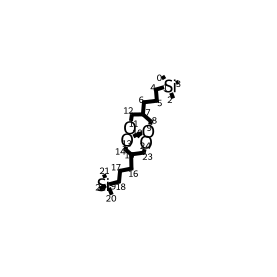 C[Si](C)(C)CCCC1COC2(OC1)OCC(CCC[Si](C)(C)C)CO2